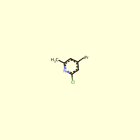 Cc1cc(C(C)C)cc(Cl)n1